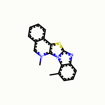 Cc1cccc2nc3sc4c5ccccc5c[n+](C)c4n3c12